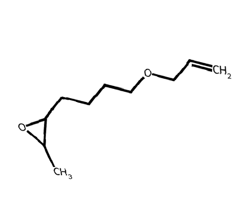 C=CCOCCCCC1OC1C